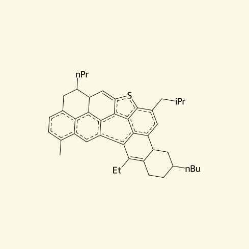 CCCCC1CCC2=C(CC)c3c4cc5c(C)ccc6c5c5c4c4c(sc7c(CC(C)C)cc(c3c74)C2C1)=CC5C(CCC)C6